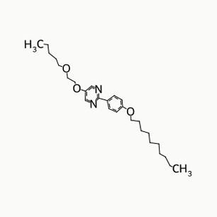 CCCCCCCCCCOc1ccc(-c2ncc(OCCOCCCCC)cn2)cc1